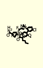 CCCCC(C(=O)Nc1ccc(C(N)=O)nc1)n1cc(OC)c(-c2cc(Cl)ccc2-n2cc(C(F)F)nn2)cc1=O